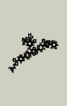 CN(C)CCOC(=O)c1ccc(N2CCN(C(=O)[C@@H](Cc3cc(Cl)c(N)c(C(F)(F)F)c3)OC(=O)N3CCC(n4nc(-c5ccccc5)[nH]c4=O)CC3)CC2)nc1